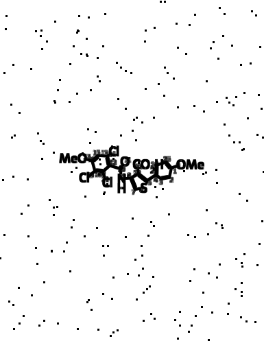 COc1ccc(-c2scc(NC(=O)c3c(Cl)cc(OC)c(Cl)c3Cl)c2C(=O)O)cc1